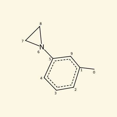 Cc1cccc(N2CC2)c1